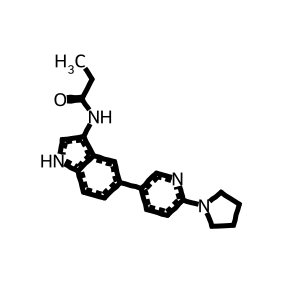 CCC(=O)Nc1c[nH]c2ccc(-c3ccc(N4CCCC4)nc3)cc12